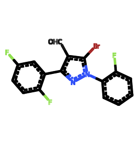 O=Cc1c(-c2cc(F)ccc2F)nn(-c2ccccc2F)c1Br